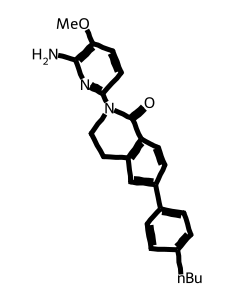 CCCCc1ccc(-c2ccc3c(c2)CCN(c2ccc(OC)c(N)n2)C3=O)cc1